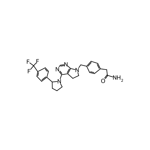 NC(=O)Cc1ccc(CN2CCc3c2ncnc3N2CCCC2c2ccc(C(F)(F)F)cc2)cc1